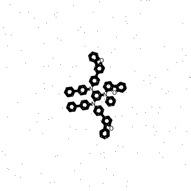 c1ccc(-c2ccc(N(c3ccc(-c4ccc5oc6ccccc6c5c4)cc3)c3cc(N(c4ccc(-c5ccccc5)cc4)c4ccc(-c5ccc6oc7ccccc7c6c5)cc4)cc(N(c4ccccc4)c4cccc5c4oc4ccccc45)c3)cc2)cc1